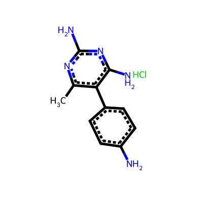 Cc1nc(N)nc(N)c1-c1ccc(N)cc1.Cl